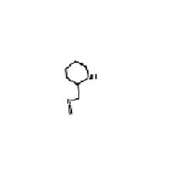 C=NCC1CCCCN1